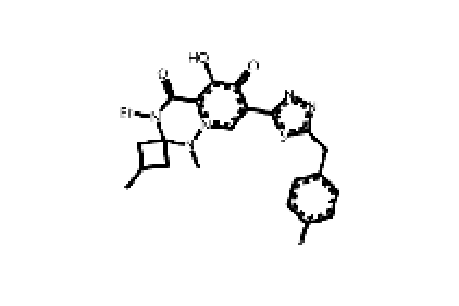 CCN1C(=O)c2c(O)c(=O)c(-c3nnc(Cc4ccc(F)cc4)s3)cn2N(C)C12CC(C)C2